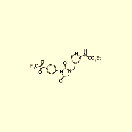 CCOC(=O)Nc1cc(CN2CC(=O)N(c3ccc(S(=O)(=O)C(F)(F)F)cc3)C2=O)ccn1